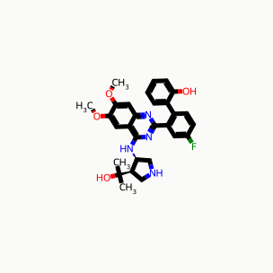 COc1cc2nc(-c3cc(F)ccc3-c3ccccc3O)nc(N[C@@H]3CNC[C@H]3C(C)(C)O)c2cc1OC